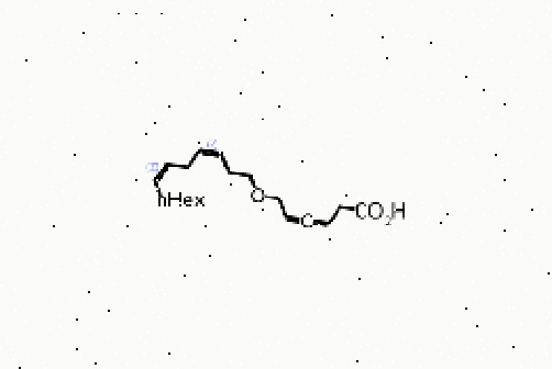 CCCCCC/C=C\C/C=C\CCOCC=C=CCC(=O)O